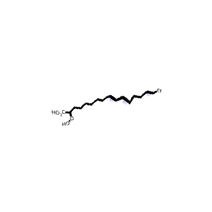 CC/C=C/CC/C=C/C=C/CCCCCCC(OO)C(=O)O